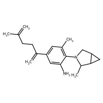 C=C(C)CCC(=C)c1cc(C)c(N2CC3CC3C2C)c(N)c1